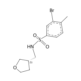 Cc1ccc(S(=O)(=O)NC[C@@H]2CCOC2)cc1Br